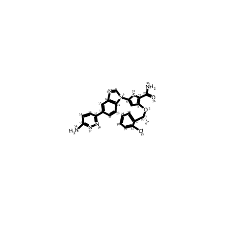 C[C@@H](Oc1cc(-n2cnc3cc(-c4ccc(N)nn4)ccc32)sc1C(N)=O)c1ccccc1Cl